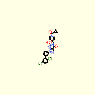 O=C(C1CC1)N1CCC(O)(Cn2cnc3c(cnn3-c3cccc(-c4cc(Cl)ccc4Cl)c3)c2=O)CC1